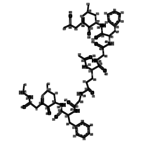 CBPC(=O)CNC(=O)C(CC(C)C)NC(=O)C(Cc1ccccc1)NC(=O)CNC(=O)CCC(NC(C)=O)C(=O)NCC(=O)NC(Cc1ccccc1)C(=O)NC(CC(C)C)C(=O)NCC(C)=O